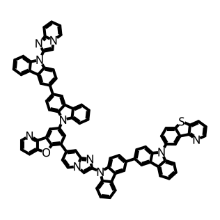 c1cnc2c(c1)oc1c(-c3ccn4cc(-n5c6ccccc6c6cc(-c7ccc8c(c7)c7ccccc7n8-c7ccc8sc9cccnc9c8c7)ccc65)nc4c3)cc(-n3c4ccccc4c4cc(-c5ccc6c(c5)c5ccccc5n6-c5cn6ccccc6n5)ccc43)cc12